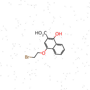 O=C(O)c1cc(OCCBr)c2ccccc2c1O